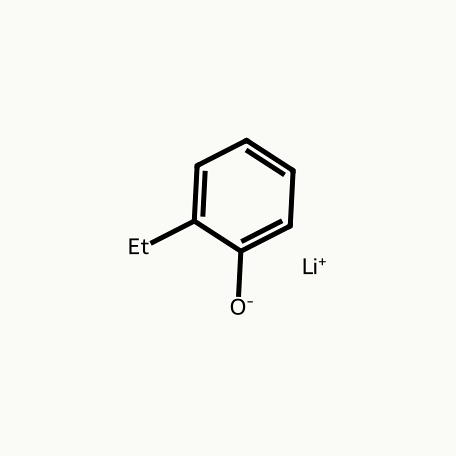 CCc1ccccc1[O-].[Li+]